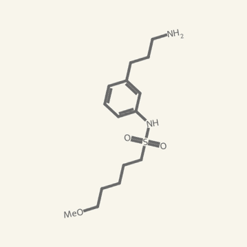 COCCCCCS(=O)(=O)Nc1cccc(CCCN)c1